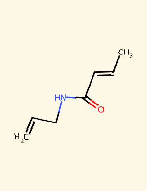 C=CCNC(=O)C=CC